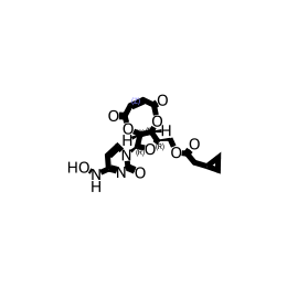 O=C1/C=C\C(=O)O[C@H]2[C@@H](O1)[C@H](n1ccc(NO)nc1=O)O[C@@H]2COC(=O)CC1CC1